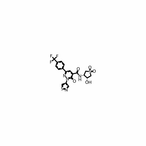 O=C(N[C@@H]1CS(=O)(=O)C[C@@H]1O)c1cc(-c2ccc(C(F)(F)F)cc2)nn(-c2cnsc2)c1=O